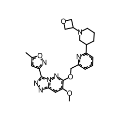 COc1cc2nnc(-c3cc(C)on3)n2nc1OCc1cccc(C2CCCN(C3COC3)C2)n1